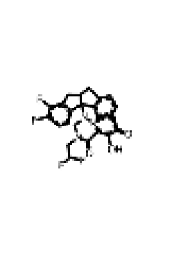 O=C1c2c(O)c(=O)ccn2N(C23c4ccccc4CC2Cc2c3ccc(F)c2F)CN1CC(F)F